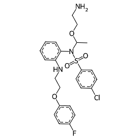 CC(OCCN)N(c1ccccc1NCCOc1ccc(F)cc1)S(=O)(=O)c1ccc(Cl)cc1